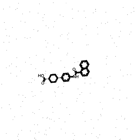 O=C(Nc1ccc([C@H]2CC[C@@H](C(=O)O)CC2)cc1)c1cccc2ccccc12